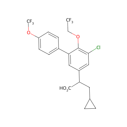 O=C(O)C(CC1CC1)c1cc(Cl)c(OCC(F)(F)F)c(-c2ccc(OC(F)(F)F)cc2)c1